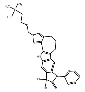 CCC1(CC)C(=O)N(c2cnccn2)c2cc3c4c([nH]c3cc21)-c1nn(COCC[Si](C)(C)C)cc1CCC4